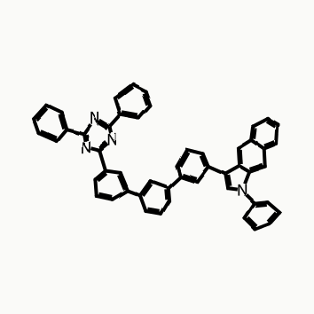 c1ccc(-c2nc(-c3ccccc3)nc(-c3cccc(-c4cccc(-c5cccc(-c6cn(-c7ccccc7)c7cc8ccccc8cc67)c5)c4)c3)n2)cc1